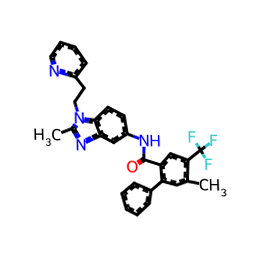 Cc1cc(-c2ccccc2)c(C(=O)Nc2ccc3c(c2)nc(C)n3CCc2ccccn2)cc1C(F)(F)F